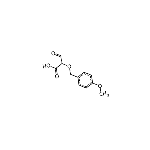 COc1ccc(COC(C=O)C(=O)O)cc1